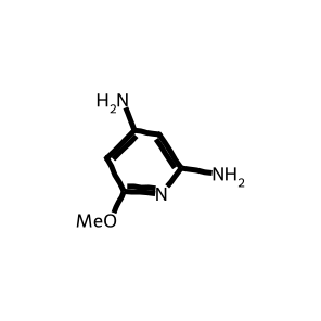 COc1cc(N)cc(N)n1